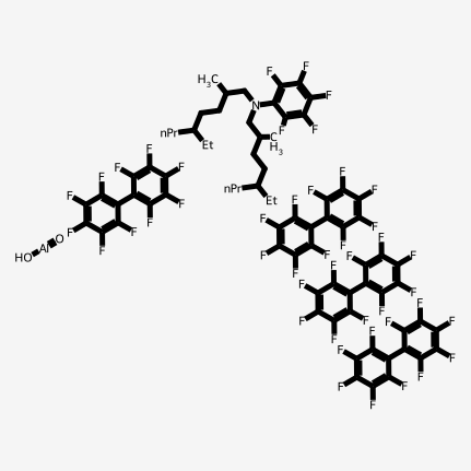 CCCC(CC)CCC(C)CN(CC(C)CCC(CC)CCC)c1c(F)c(F)c(F)c(F)c1F.Fc1c(F)c(F)c(-c2c(F)c(F)c(F)c(F)c2F)c(F)c1F.Fc1c(F)c(F)c(-c2c(F)c(F)c(F)c(F)c2F)c(F)c1F.Fc1c(F)c(F)c(-c2c(F)c(F)c(F)c(F)c2F)c(F)c1F.Fc1c(F)c(F)c(-c2c(F)c(F)c(F)c(F)c2F)c(F)c1F.[O]=[Al][OH]